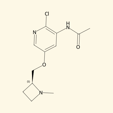 CC(=O)Nc1cc(OC[C@@H]2CCN2C)cnc1Cl